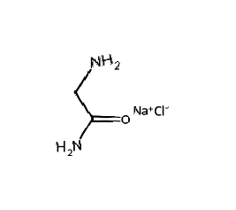 NCC(N)=O.[Cl-].[Na+]